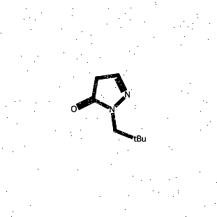 CC(C)(C)CN1N=CCC1=O